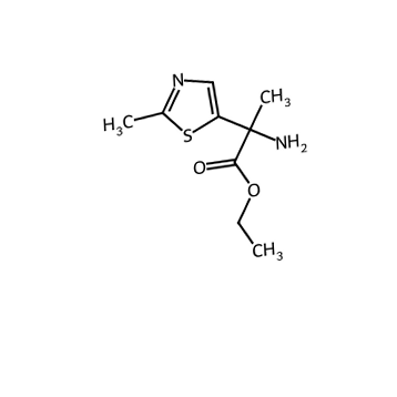 CCOC(=O)C(C)(N)c1cnc(C)s1